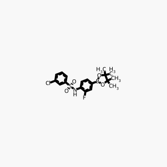 CC1(C)OB(c2ccc(NS(=O)(=O)c3cccc(Cl)c3)c(F)c2)OC1(C)C